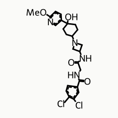 COc1ccc(C2(O)CCC(N3CC(NC(=O)CNC(=O)c4ccc(Cl)c(Cl)c4)C3)CC2)cn1